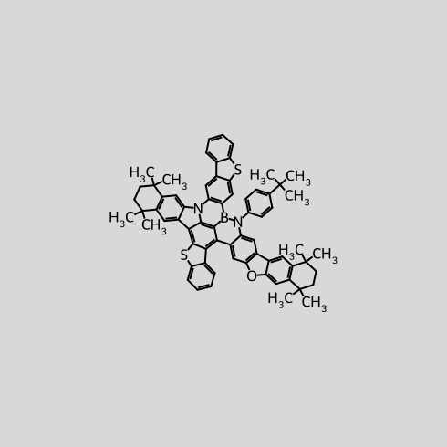 CC(C)(C)c1ccc(N2B3c4cc5sc6ccccc6c5cc4-n4c5cc6c(cc5c5c7sc8ccccc8c7c(c3c54)-c3cc4oc5cc7c(cc5c4cc32)C(C)(C)CCC7(C)C)C(C)(C)CCC6(C)C)cc1